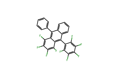 Fc1c(F)c(F)c(-c2c3ccccc3c(-c3ccccc3)c3c(F)c(F)c(F)c(F)c23)c(F)c1F